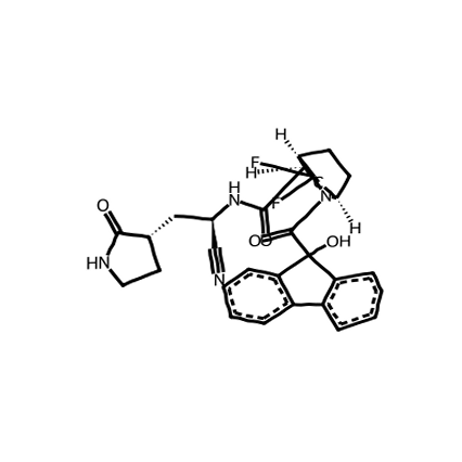 N#C[C@@H](C[C@@H]1CCNC1=O)NC(=O)[C@H]1[C@H]2CC[C@H](CC2(F)F)N1C(=O)C1(O)c2ccccc2-c2ccccc21